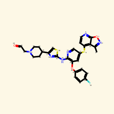 Cc1noc2nccc(Sc3cnc(Nc4nc(C5CCN(CC=O)CC5)cs4)c(Oc4ccc(F)cc4)c3)c12